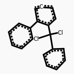 ClC(Cl)(c1ccccc1)c1ccccc1-c1ccccc1